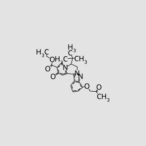 CCOC(=O)c1cn2c(cc1=O)-c1c3cccc(OCC(C)=O)c3nn1CC2C(C)(C)C